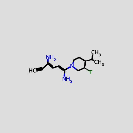 C#C/C(N)=C/C=C(\N)N1CC[C@@H](C(C)C)[C@@H](F)C1